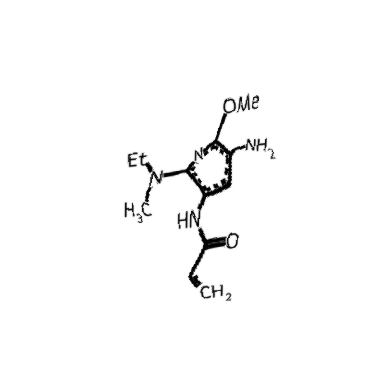 [CH2]CN(C)c1nc(OC)c(N)cc1NC(=O)C=C